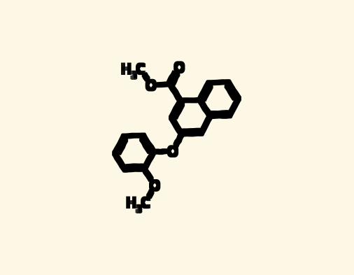 COC(=O)c1cc(Oc2ccccc2OC)cc2ccccc12